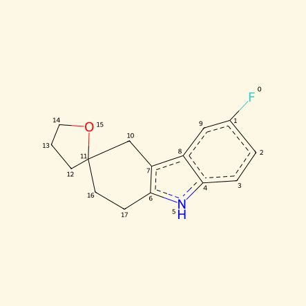 Fc1ccc2[nH]c3c(c2c1)CC1(CCCO1)CC3